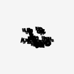 COCCn1cc(NC(=O)c2ccc3cnc(N[C@@H]4CCCC[C@@H]4N)nn23)c(C(N)=O)n1.O=C(O)C(F)(F)F